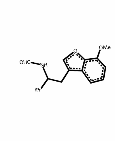 COc1cccc2c(CC(NC=O)C(C)C)coc12